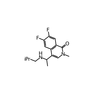 CC(C)CNC(C)c1cn(C)c(=O)c2cc(F)c(F)cc12